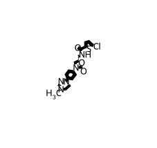 CN1C=NN(c2ccc(N3C[C@H](CNC(=O)c4ccc(Cl)s4)OC3=O)cc2)CC1